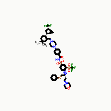 CC1(C)CCC([C@@H]2C[C@H](C(F)(F)F)C3CC32)=C(CN2CCN(c3ccc(C(=O)NS(=O)(=O)c4ccc(N[C@H](CCN5CCOCC5)CSc5ccccc5)c(S(=O)(=O)C(F)(F)F)c4)cc3)CC2)C1